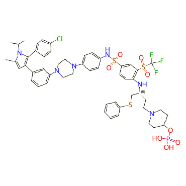 Cc1cc(-c2cccc(N3CCN(c4ccc(NS(=O)(=O)c5ccc(N[C@H](CCN6CCC(OP(=O)(O)O)CC6)CSc6ccccc6)c(S(=O)(=O)C(F)(F)F)c5)cc4)CC3)c2)c(-c2ccc(Cl)cc2)n1C(C)C